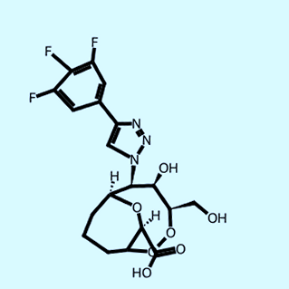 O=C(O)[C@@H]1O[C@H]2CCCC1OO[C@H](CO)[C@H](O)[C@@H]2n1cc(-c2cc(F)c(F)c(F)c2)nn1